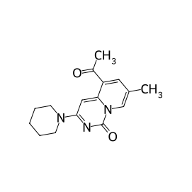 CC(=O)c1cc(C)cn2c(=O)nc(N3CCCCC3)cc12